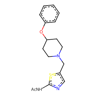 CC(=O)Nc1ncc(CN2CCC(Oc3ccccc3)CC2)s1